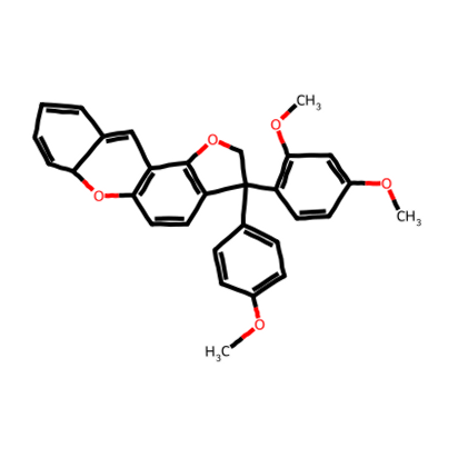 COc1ccc(C2(c3ccc(OC)cc3OC)COc3c2ccc2c3C=C3C=CC=CC3O2)cc1